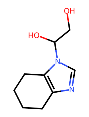 OCC(O)n1cnc2c1CCCC2